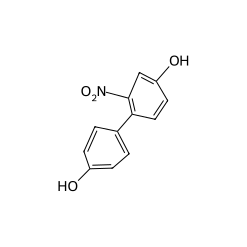 O=[N+]([O-])c1cc(O)ccc1-c1ccc(O)cc1